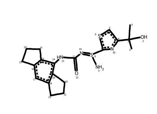 CC(C)(O)c1csc(/S(N)=N/C(=O)Nc2c3c(cc4c2CCC4)CCC3)n1